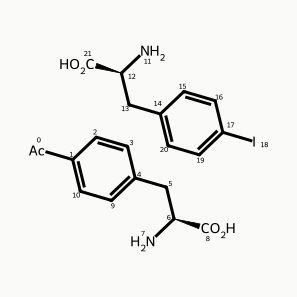 CC(=O)c1ccc(C[C@H](N)C(=O)O)cc1.N[C@@H](Cc1ccc(I)cc1)C(=O)O